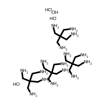 Cl.Cl.Cl.Cl.NCC(CN)(CN)CN.NCC(CN)(CN)CN.NCC(CN)(CN)CN.NCC(CN)(CN)CN